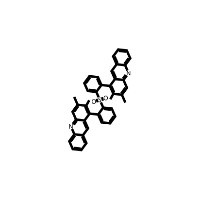 Cc1cc2nc3ccccc3cc2c(-c2ccccc2S(=O)(=O)c2ccccc2-c2c(C)c(C)cc3nc4ccccc4cc23)c1C